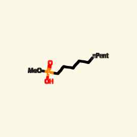 CCCCCCCCCCP(=O)(O)OC